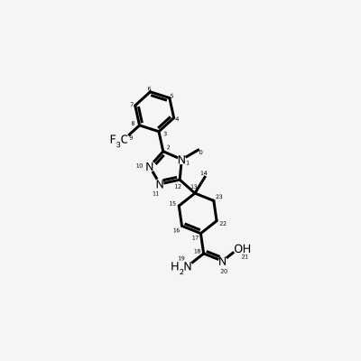 Cn1c(-c2ccccc2C(F)(F)F)nnc1C1(C)CC=C(/C(N)=N\O)CC1